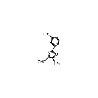 CCCc1oc(-c2cccc(C(F)(F)F)c2)nc1C=O